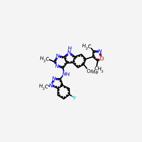 COc1cc2c(cc1-c1c(C)noc1C)[nH]c1nc(C)nc(Nc3nn(C)c4ccc(F)cc34)c12